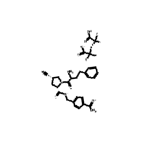 N#C[C@H]1C[C@@H](C(=O)NCc2ccc(C(=N)N)cc2)N(C(=O)C(N)CCc2ccccc2)C1.O=C(O)C(F)(F)F.O=C(O)C(F)(F)F